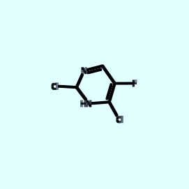 FC1=C(Cl)NC(Cl)N=C1